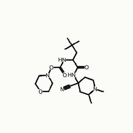 CC1CC(C#N)(NC(=O)C(CC(C)(C)C)NC(=O)ON2CCOCC2)CCN1C